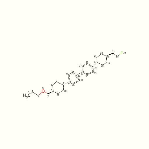 CCCOC[C@H]1CC[C@H](c2ccc(-c3ccc([C@H]4CC[C@H](CCF)CC4)cc3)cc2)CC1